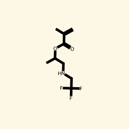 C=C(C)C(=O)OC(C)CNCC(F)(F)F